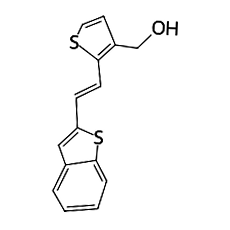 OCc1ccsc1C=Cc1cc2ccccc2s1